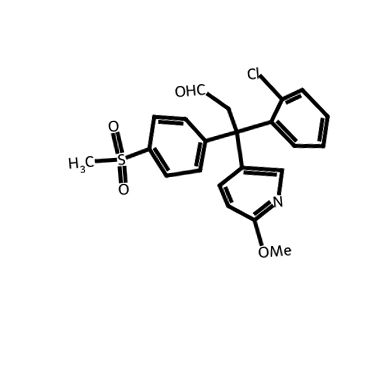 COc1ccc(C(CC=O)(c2ccc(S(C)(=O)=O)cc2)c2ccccc2Cl)cn1